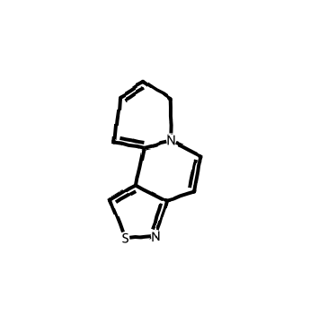 C1=CCN2C=Cc3nscc3C2=C1